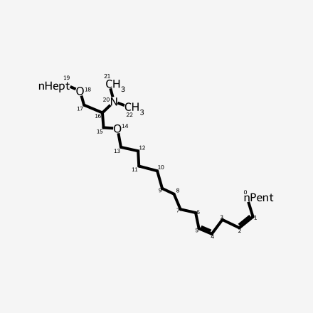 CCCCC/C=C\C/C=C\CCCCCCCCOCC(COCCCCCCC)N(C)C